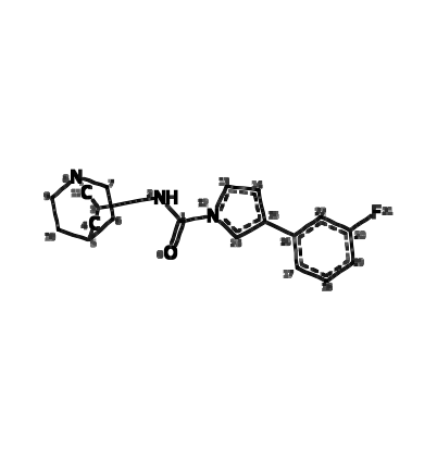 O=C(NC1CC2CCN(CC2)C1)n1ccc(-c2cccc(F)c2)c1